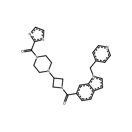 O=C(c1ccc2ccn(Cc3ccncc3)c2c1)N1CC(N2CCN(C(=O)c3nccs3)CC2)C1